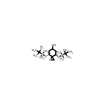 CC(C)(C)[Si](C)(C)O[C@@H]1CC(O)C[C@@H](O[Si](C)(C)C(C)(C)C)C12CO2